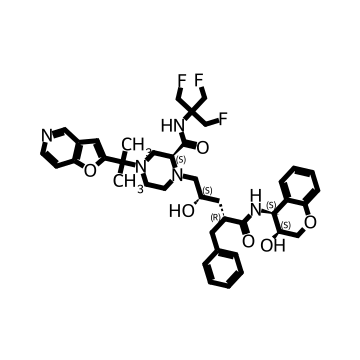 CC(C)(c1cc2cnccc2o1)N1CCN(C[C@@H](O)C[C@@H](Cc2ccccc2)C(=O)N[C@H]2c3ccccc3OC[C@H]2O)[C@H](C(=O)NC(CF)(CF)CF)C1